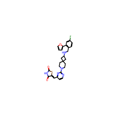 O=C1NC(=O)C(=Cc2ccnc(N3CCC4(CC3)CC(NCc3ccc(F)cc3-c3ccco3)C4)n2)S1